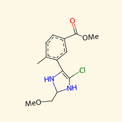 COCC1NC(Cl)=C(c2cc(C(=O)OC)ccc2C)N1